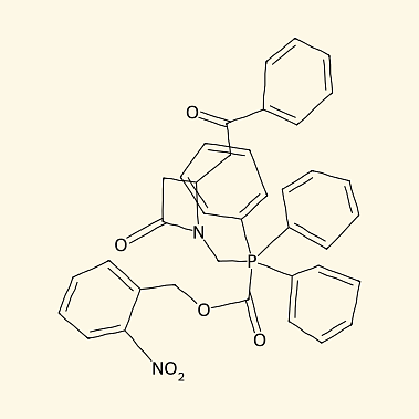 O=C(CC1CC(=O)N1CP(C(=O)OCc1ccccc1[N+](=O)[O-])(c1ccccc1)(c1ccccc1)c1ccccc1)c1ccccc1